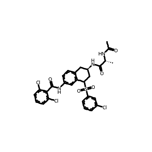 CC(=O)N[C@H](C)C(=O)N[C@@H]1Cc2ccc(NC(=O)c3c(Cl)cccc3Cl)cc2C(S(=O)(=O)c2cccc(Cl)c2)C1